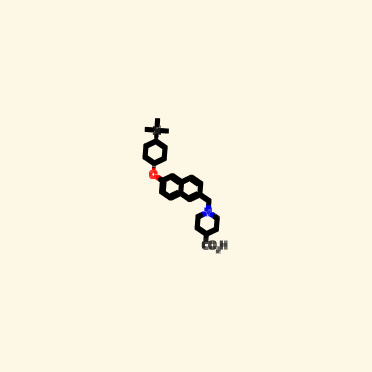 C[Si](C)(C)[C@H]1CC[C@H](Oc2ccc3cc(CN4CCC(C(=O)O)CC4)ccc3c2)CC1